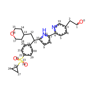 O=CCc1ccc(-c2ccc(C(CC3CCOCC3)c3ccc(S(=O)(=O)C4CC4)cc3)[nH]2)nc1